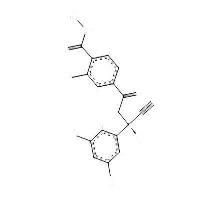 C#C[C@@](CC(=O)c1ccc(C(=O)OC(C)(C)C)c(C)c1)(c1cc(Cl)cc(Cl)c1)C(F)(F)F